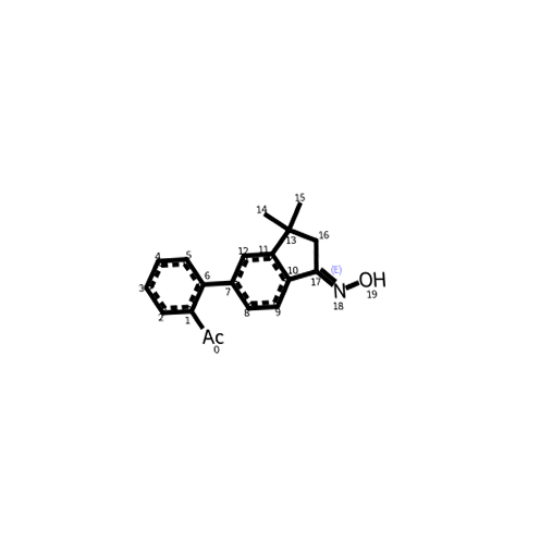 CC(=O)c1ccccc1-c1ccc2c(c1)C(C)(C)C/C2=N\O